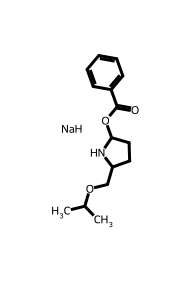 CC(C)OCC1CCC(OC(=O)c2ccccc2)N1.[NaH]